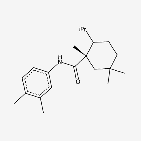 Cc1ccc(NC(=O)[C@@]2(C)CC(C)(C)CCC2C(C)C)cc1C